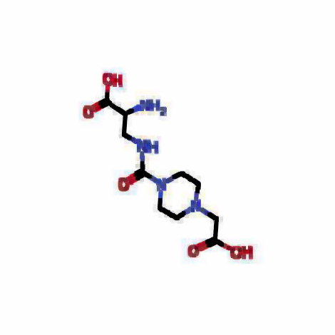 N[C@@H](CNC(=O)N1CCN(CC(=O)O)CC1)C(=O)O